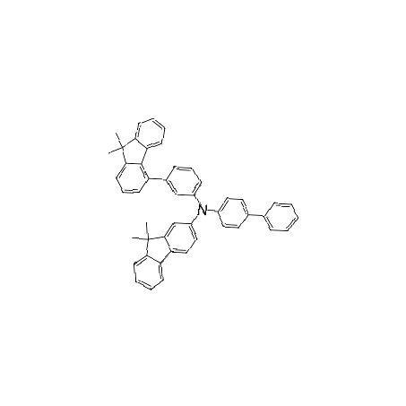 CC1(C)c2ccccc2-c2ccc(N(c3ccc(-c4ccccc4)cc3)c3cccc(-c4cccc5c4-c4ccccc4C5(C)C)c3)cc21